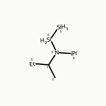 CCC(C)N([SiH2][SiH3])C(C)C